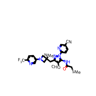 CNC1(Cc2nn(-c3ccc(C#N)cn3)c(NC(=O)CSC)c2C=O)CN(c2ccc(C(F)(F)F)nc2)C1